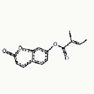 C/C=C(\C)C(=O)Oc1ccc2ccc(=O)oc2c1